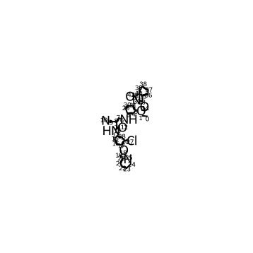 CCOc1cc(NC=C(C#N)C(=O)Nc2ccc(OCc3ccccn3)c(Cl)c2)ccc1N1C(=O)c2ccccc2C1=O